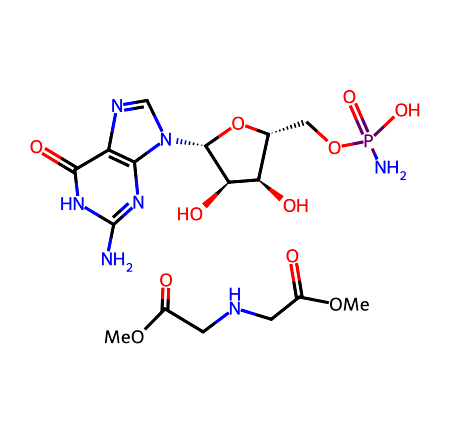 COC(=O)CNCC(=O)OC.Nc1nc2c(ncn2[C@@H]2O[C@H](COP(N)(=O)O)[C@@H](O)[C@H]2O)c(=O)[nH]1